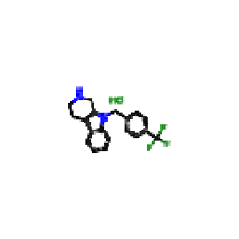 Cl.FC(F)(F)c1ccc(Cn2c3c(c4ccccc42)CCNC3)cc1